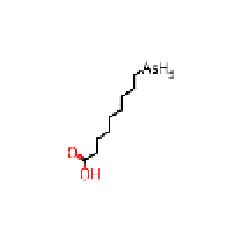 O=C(O)CCCCCCCC[AsH2]